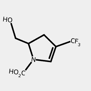 O=C(O)N1C=C(C(F)(F)F)CC1CO